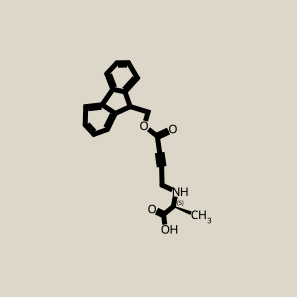 C[C@H](NCC#CC(=O)OCC1c2ccccc2-c2ccccc21)C(=O)O